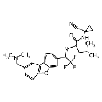 CC(C)CC(NC(c1ccc2c(c1)oc1ccc(CN(C)C)cc12)C(F)(F)F)C(=O)NC1(C#N)CC1